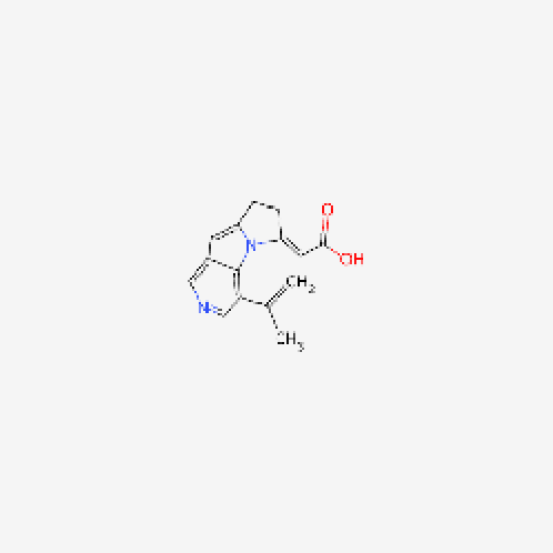 C=C(C)c1cncc2cc3n(c12)C(=CC(=O)O)CC3